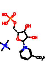 C[N+](C)(C)C.O=C(O)c1ccc[n+]([C@@H]2O[C@H](COP(=O)(O)O)[C@@H](O)[C@H]2O)c1